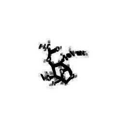 CC(=O)OC1[C@@H](N=[N+]=[N-])C2OC[C@@H](O2)[C@H]1O